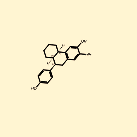 CCCc1cc2c(cc1O)[C@@H]1CCCC[C@@H]1[C@H](c1ccc(O)cc1)C2